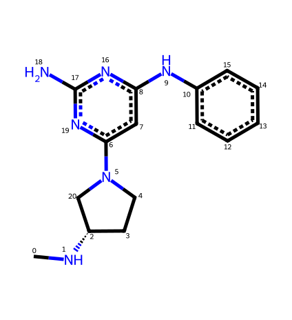 CN[C@H]1CCN(c2cc(Nc3ccccc3)nc(N)n2)C1